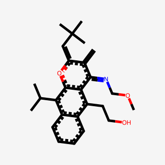 C=c1/c(=C\C(C)(C)C)oc2c(C(C)C)c3ccccc3c(CCO)c2/c1=N\COC